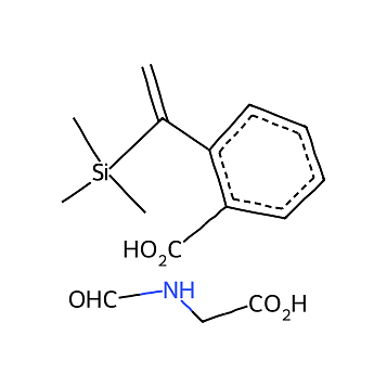 C=C(c1ccccc1C(=O)O)[Si](C)(C)C.O=CNCC(=O)O